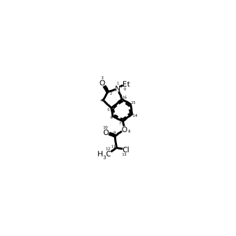 CCN1C(=O)Cc2cc(OC(=O)C(C)Cl)ccc21